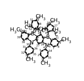 Cc1ccc(N2c3ccc(C)cc3B(c3c(C)cc(C)cc3C)c3cc4c(cc32)N(c2ccc(C)cc2)c2ccc(C)cc2B4c2c(C)cc(C)cc2C)cc1